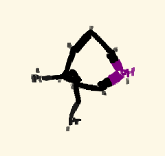 CC(C)C1=C(C(C)C)C=[PH]=CC=C1